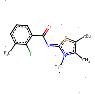 Cc1c(C(C)(C)C)s/c(=N\C(=O)c2cccc(C(F)(F)F)c2F)n1C